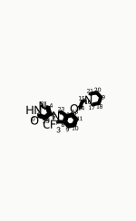 O=c1[nH]ncc(N2Cc3cccc(OCCN4CCCCC4)c3C2)c1C(F)(F)F